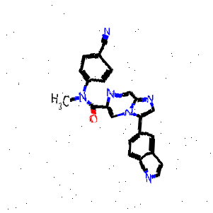 CN(C(=O)c1cn2c(-c3ccc4cnccc4c3)cnc2cn1)c1ccc(C#N)cc1